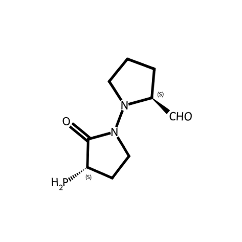 O=C[C@@H]1CCCN1N1CC[C@H](P)C1=O